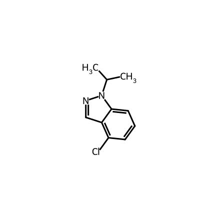 CC(C)n1ncc2c(Cl)cccc21